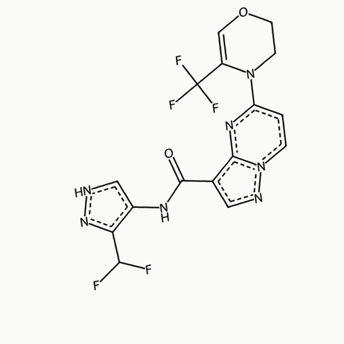 O=C(Nc1c[nH]nc1C(F)F)c1cnn2ccc(N3CCOC=C3C(F)(F)F)nc12